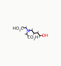 O=C(O)CN(CCCCO)CC(=O)O